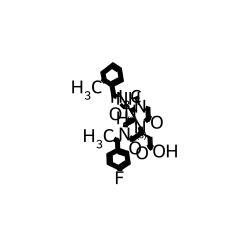 CC1CC=CC=C1CNC(=O)N1[C@H]2CN(C(C)c3ccc(F)cc3)C(=O)[C@H](CC(=O)O)N2C(=O)CN1C